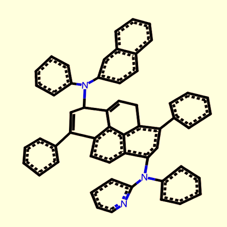 C1=C(c2ccccc2)c2ccc3c(N(c4ccccc4)c4ccccn4)cc(-c4ccccc4)c4c3c2C(=CC4)C1N(c1ccccc1)c1ccc2ccccc2c1